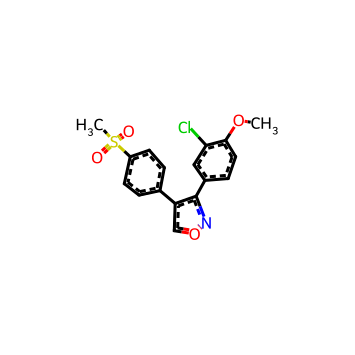 COc1ccc(-c2nocc2-c2ccc(S(C)(=O)=O)cc2)cc1Cl